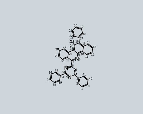 c1ccc(-c2cc(-c3nc4c5ccccc5c5c6ccccc6sc5c4c4ccccc34)nc(-c3ccccc3)n2)cc1